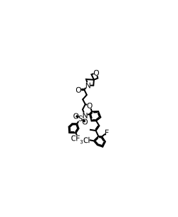 CC(=Cc1ccc2c(c1)N(S(=O)(=O)c1cccc(C(F)(F)F)c1)CC(CCC(=O)N1CC3(COC3)C1)O2)c1c(F)cccc1Cl